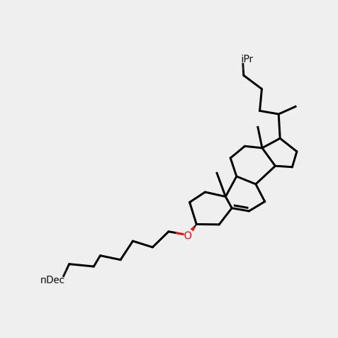 CCCCCCCCCCCCCCCCCO[C@H]1CCC2(C)C(=CCC3C2CCC2(C)C(C(C)CCCC(C)C)CCC32)C1